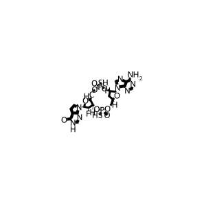 Nc1ncnc2c1ncn2[C@@H]1O[C@@H]2COP(=O)(S)O[C@H]3[C@H](F)[C@H](n4ccc5c(=O)[nH]cnc54)O[C@@H]3COP(=O)(S)O[C@@H]1C2